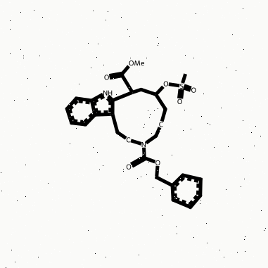 COC(=O)C1CC(OS(C)(=O)=O)CCCN(C(=O)OCc2ccccc2)CCc2c1[nH]c1ccccc21